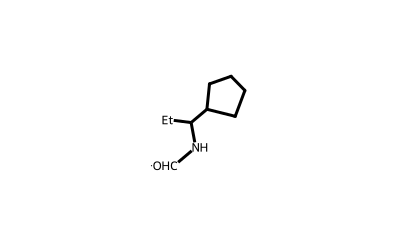 CCC(N[C]=O)C1CCCC1